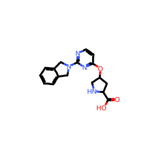 O=C(O)C1CC(Oc2ccnc(N3Cc4ccccc4C3)n2)CN1